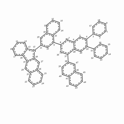 c1ccc(-c2cc3nc(-c4cc(-n5c6ccccc6c6cc7ccccc7cc65)cc5ccccc45)nc(-c4ccc5ccccc5c4)c3cc2-c2ccccc2)cc1